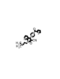 CN(C)CCCn1c(=O)c(C#N)c(N2CCN(C(=O)c3cccs3)CC2)c2cccnc21